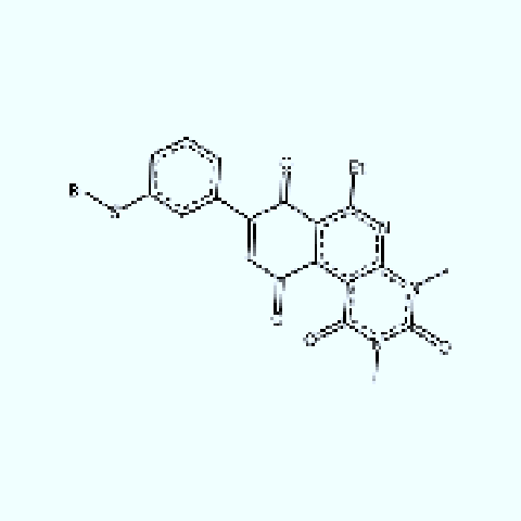 CCc1nc2c(c3c1C(=O)C(c1cccc(SBr)c1)=CC3=O)c(=O)n(C)c(=O)n2C